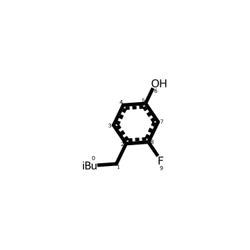 CCC(C)Cc1ccc(O)cc1F